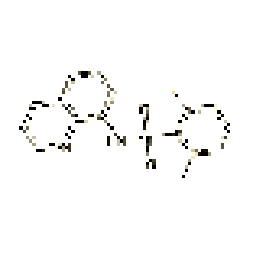 Cc1cccc(C)c1S(=O)(=O)Nc1cccc2cccnc12